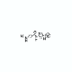 N#CNC1CC(C(=O)Nc2ncc([C@@H]3CC4CCC3CC4)s2)C1